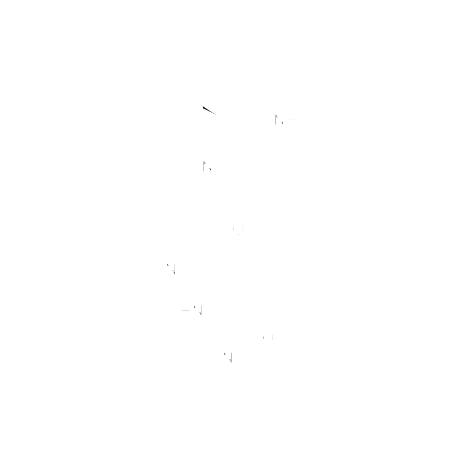 CC[C@H]1CNCc2cc(Oc3ccnc4[nH]c(C(=O)N(C)C)cc34)cnc21